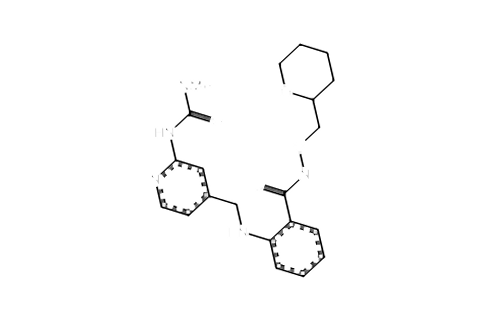 CNC(=O)Nc1cc(CNc2ccccc2C(=O)NOCC2CCCCO2)ccn1